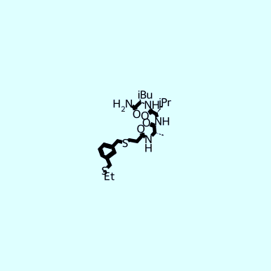 CCSCc1cccc(CSCCC(=O)N[C@@H](C)C(=O)N[C@@H](CC(C)C)C(=O)N[C@H](C(N)=O)[C@@H](C)CC)c1